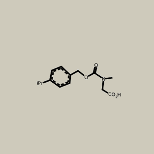 CC(C)c1ccc(COC(=O)N(C)CC(=O)O)cc1